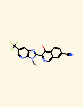 Cn1c(-c2ncc3cc(C#N)ccc3c2O)nc2cc(C(F)(F)F)cnc21